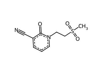 CS(=O)(=O)CCn1cccc(C#N)c1=O